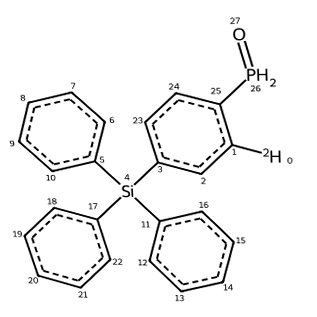 [2H]c1cc([Si](c2ccccc2)(c2ccccc2)c2ccccc2)ccc1[PH2]=O